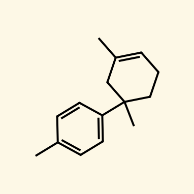 CC1=CCCC(C)(c2ccc(C)cc2)C1